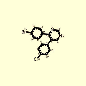 Clc1ccc(-c2cn[c]nc2-c2ccc(Br)cc2)cc1